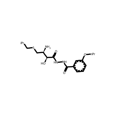 CCCOc1cccc(C(=O)NNC(=O)[C@@H](O)[C@H](N)CSCC(C)C)c1